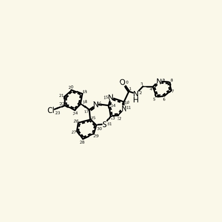 O=C(NCc1ccccn1)c1ncc2c(n1)N=C(c1cccc(Cl)c1)c1ccccc1S2